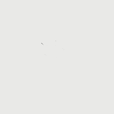 CCc1ccc2c(c1)[C@@H](NC[C@@H](O)[C@H](Cc1ccccc1)NC(=O)c1cccc(C)c1)CC1(CCC1)O2